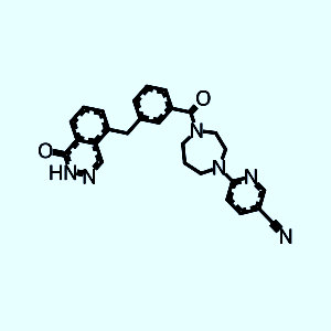 N#Cc1ccc(N2CCCN(C(=O)c3cccc(Cc4cccc5c(=O)[nH]ncc45)c3)CC2)nc1